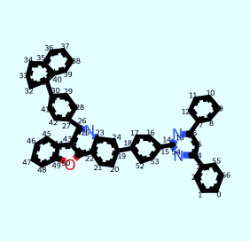 c1ccc(-c2cc(-c3ccccc3)nc(-c3ccc(-c4ccc5c(c4)nc(-c4ccc(-c6cccc7ccccc67)cc4)c4c6ccccc6oc54)cc3)n2)cc1